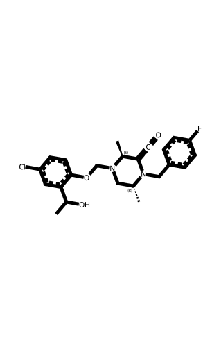 CC(O)c1cc(Cl)ccc1OCN1C[C@@H](C)N(Cc2ccc(F)cc2)C(=C=O)[C@@H]1C